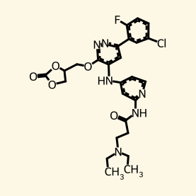 CCN(CC)CCC(=O)Nc1cc(Nc2cc(-c3cc(Cl)ccc3F)nnc2OCC2COC(=O)O2)ccn1